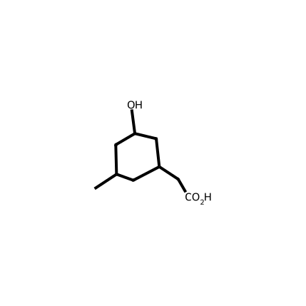 CC1CC(O)CC(CC(=O)O)C1